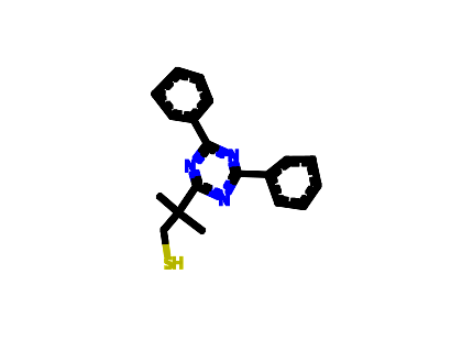 CC(C)(CS)c1nc(-c2ccccc2)nc(-c2ccccc2)n1